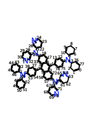 C1=CCC(N(C2=CCCC=C2)c2ccc(-c3c4ccc(N(c5cccnc5)c5cccnc5)cc4c(-c4ccc(N(c5ccccc5)c5ccccc5)cc4)c4ccc(N(C5=CCCN=C5)c5cccnc5)cc34)cc2)C=C1